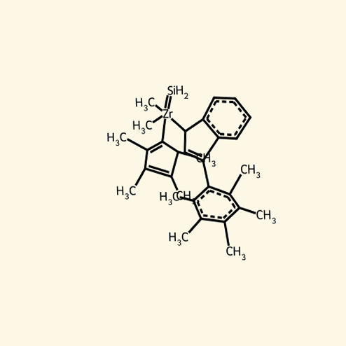 CC1=C(C)C(C)[C]([Zr]([CH3])([CH3])(=[SiH2])[CH]2C=C(c3c(C)c(C)c(C)c(C)c3C)c3ccccc32)=C1C